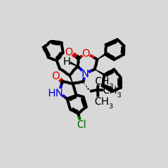 CC(C)(C)C[C@H]1N2[C@H](c3ccccc3)[C@H](c3ccccc3)OC(=O)[C@H]2C(Cc2ccccc2)[C@@]12C(=O)Nc1cc(Cl)ccc12